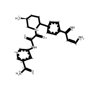 C[C@H]1CCC(c2ccc(C(=N)/C=C\N)cc2)N(C(=O)C(=O)Nc2cncc(C(N)=O)c2)C1